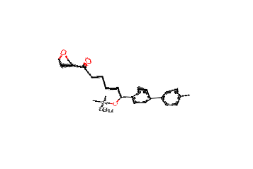 Cc1ccc(-c2ccc(C(CCCCC(=O)C3CO3)O[Si](C)(C)C(C)(C)C)cc2)cc1